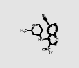 CC1CC(Nc2c([N+](=O)[O-])cnc3ccc(C#N)cc23)CCO1